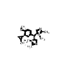 C=Nc1ccc(C(c2cnc(C)n2C)c2cnc(C)n2C)cc1C1=C(C)C1